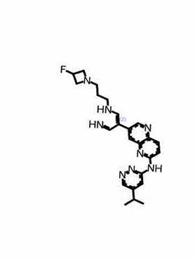 CC(C)c1cnnc(Nc2ccc3ncc(/C(C=N)=C/NCCCN4CC(F)C4)cc3n2)c1